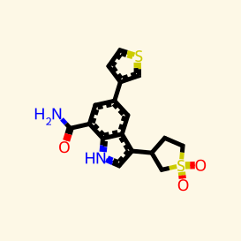 NC(=O)c1cc(-c2ccsc2)cc2c(C3CCS(=O)(=O)C3)c[nH]c12